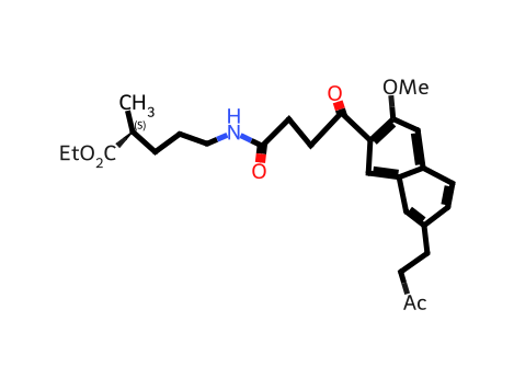 CCOC(=O)[C@@H](C)CCCNC(=O)CCC(=O)c1cc2cc(CCC(C)=O)ccc2cc1OC